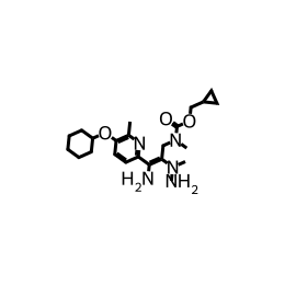 Cc1nc(/C(N)=C(\CN(C)C(=O)OCC2CC2)N(C)N)ccc1OC1CCCCC1